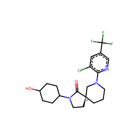 O=C1N(C2CCC(O)CC2)CC[C@@]12CCCN(c1ncc(C(F)(F)F)cc1Cl)C2